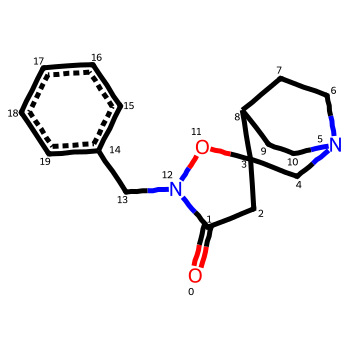 O=C1CC2(CN3CCC2CC3)ON1Cc1ccccc1